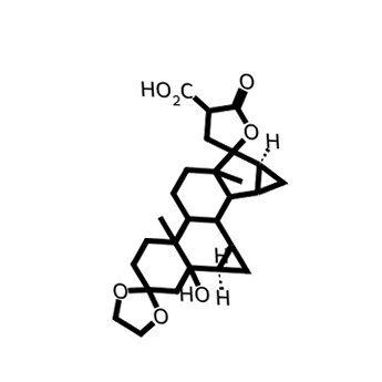 CC12CCC3(CC1(O)[C@@H]1C[C@@H]1C1C2CCC2(C)C1C1C[C@@H]1C21CC(C(=O)O)C(=O)O1)OCCO3